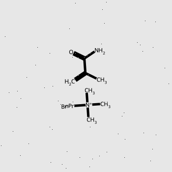 C=C(C)C(N)=O.CCC[N+](C)(C)C.[Br-]